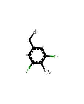 N#CCc1cc(F)c([N+](=O)[O-])c(F)c1